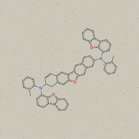 Cc1ccccc1N(c1ccc2cc3c(cc2c1)oc1cc2c(cc13)C=CC(N(c1ccccc1C)c1cccc3c1oc1ccccc13)C2)c1cccc2c1oc1ccccc12